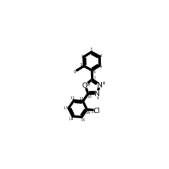 Cc1ccccc1-c1nnc(-c2ccccc2Cl)o1